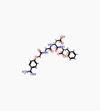 N=C(N)c1ccc(OCC(=O)NCC(=O)N[C@@H](CC(=O)O)C(=O)N[C@@H](Cc2ccccc2)C(=O)O)cc1